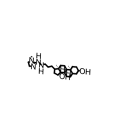 CN1CCN=C1NNCCCC1CC[C@@]2(O)[C@@H]3CCC4CC(O)CC[C@]4(C)[C@@H]3CC[C@]12C